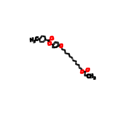 C=CC(=O)OCCCCCCCCCCCCOc1ccc(OC(=O)C2CCC(C)CC2)cc1